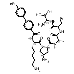 CCCCc1ccc(-c2ccc(C(=O)N[C@@H](CCCCCN)C(=O)N3C[C@H](N)C[C@H]3C(=O)N[C@@H](C)C(=O)NC(CC(C)C)C(=O)N[C@@H](N)B(O)O)cc2)cc1